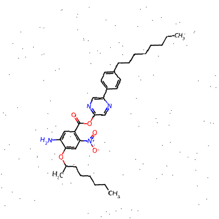 CCCCCCCCc1ccc(-c2cnc(OC(=O)c3cc(N)c(OC(C)CCCCCC)cc3[N+](=O)[O-])cn2)cc1